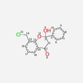 O=C1CC(O)(c2ccccc2)Oc2c(CCl)cccc21